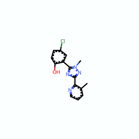 Cc1cccnc1-c1nc(-c2cc(Cl)ccc2O)n(C)n1